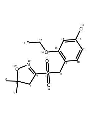 CC1(C)CC(S(=O)(=O)Cc2ccc(Cl)cc2OCF)=NO1